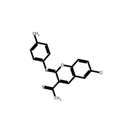 CC(=S)c1cc2cc(Cl)ccc2o/c1=N\c1ccc(C)cc1